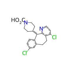 O=C(O)N1CCC(=C2c3ccc(Cl)cc3CCc3c(Cl)ccnc32)CC1